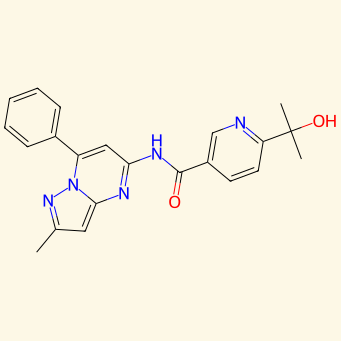 Cc1cc2nc(NC(=O)c3ccc(C(C)(C)O)nc3)cc(-c3ccccc3)n2n1